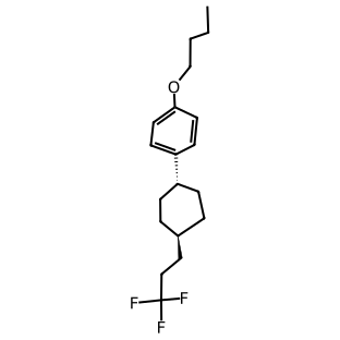 CCCCOc1ccc([C@H]2CC[C@H](CCC(F)(F)F)CC2)cc1